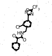 O=C(NCc1ccc(-c2noc(C(F)(F)F)n2)cc1Cl)C(=O)c1ccccc1